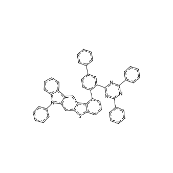 c1ccc(-c2ccc(-c3cccc4sc5cc6c(cc5c34)c3ccccc3n6-c3ccccc3)c(-c3nc(-c4ccccc4)nc(-c4ccccc4)n3)c2)cc1